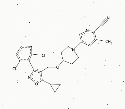 Cc1cc(N2CCC(OCc3c(-c4c(Cl)cccc4Cl)noc3C3CC3)CC2)cnc1C#N